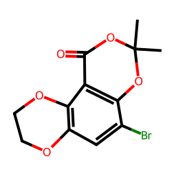 CC1(C)OC(=O)c2c(c(Br)cc3c2OCCO3)O1